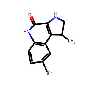 CC(C)c1ccc2[nH]c(=O)c3c(c2c1)C(C)CN3